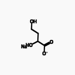 O=C([O-])C(O)CCO.[Na+]